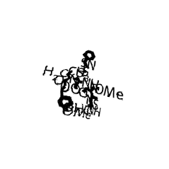 C=C(C)C(C(=O)OCc1ccc(OC)cc1)N1C(=O)C(NC(=O)C(=NOC)c2csc(NC=O)n2)C1SSc1nc2ccccc2s1